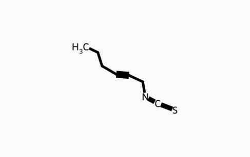 CCCC#CCN=C=S